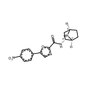 O=C(N[C@@H]1C[C@H]2CC[C@@H]1N2)c1ncc(-c2ccc([N+](=O)[O-])cc2)o1